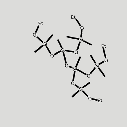 CCO[Si](C)(C)O[Si](C)(O[Si](C)(C)OCC)O[Si](C)(O[Si](C)(C)OCC)O[Si](C)(C)OCC